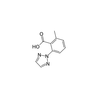 Cc1cccc(-n2nccn2)c1C(=O)O